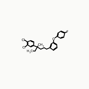 CCC(C)(CCCc1cccc(Oc2ccc(F)cc2)c1)c1ccc(Cl)c(Cl)c1